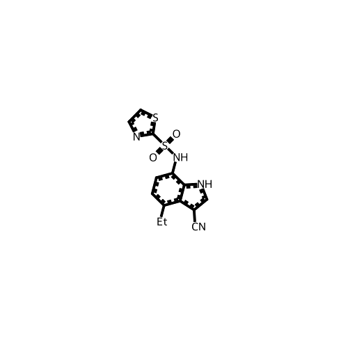 CCc1ccc(NS(=O)(=O)c2nccs2)c2[nH]cc(C#N)c12